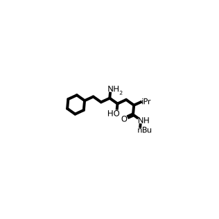 CCCCNC(=O)C(CC(O)C(N)CCC1CCCCC1)C(C)C